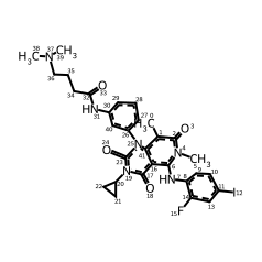 Cc1c(=O)n(C)c(Nc2ccc(I)cc2F)c2c(=O)n(C3CC3)c(=O)n(-c3cccc(NC(=O)CCCN(C)C)c3)c12